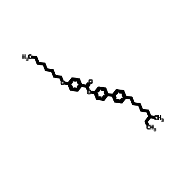 CCCCCCCCOc1ccc(C(=O)Oc2ccc(-c3ccc(CCCCCC(C)CC)cc3)cc2)cc1